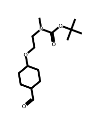 CN(CCOC1CCC(C=O)CC1)C(=O)OC(C)(C)C